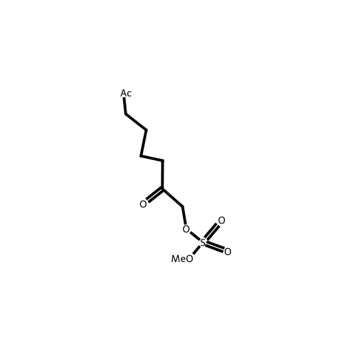 COS(=O)(=O)OCC(=O)CCCCC(C)=O